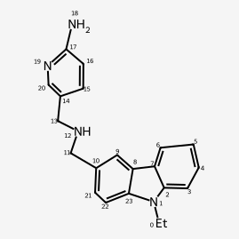 CCn1c2ccccc2c2cc(CNCc3ccc(N)nc3)ccc21